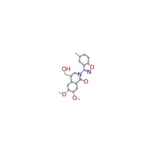 COc1cc2c(CO)cn(-c3noc4ccc(C)cc34)c(=O)c2cc1OC